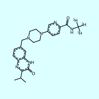 [2H]C([2H])([2H])NC(=O)c1ccc(N2CCN(Cc3ccc4nc(C(C)C)c(=O)[nH]c4c3)CC2)cn1